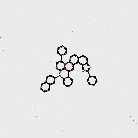 c1ccc(-c2ccc(N(c3ccc4ccccc4c3)c3ccccc3-c3ccc4ccc5ccc6nc(-c7ccccc7)oc6c5c4c3)cc2)cc1